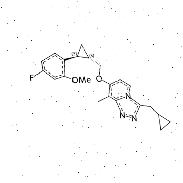 COc1cc(F)ccc1[C@H]1C[C@@H]1COc1ccn2c(CC3CC3)nnc2c1C